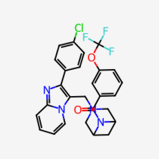 O=C(c1cccc(OC(F)(F)F)c1)N1C2CC1CN(Cc1c(-c3ccc(Cl)cc3)nc3ccccn13)C2